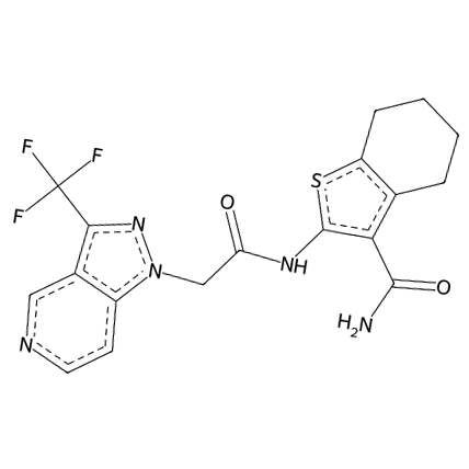 NC(=O)c1c(NC(=O)Cn2nc(C(F)(F)F)c3cnccc32)sc2c1CCCC2